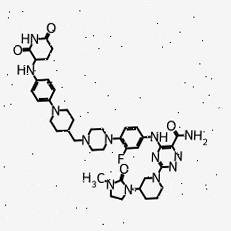 CN1CCN(C2CCCN(c3nnc(C(N)=O)c(Nc4ccc(N5CCN(CC6CCN(c7ccc(NC8CCC(=O)NC8=O)cc7)CC6)CC5)c(F)c4)n3)C2)C1=O